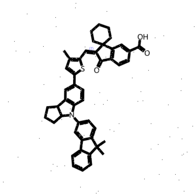 Cc1cc(-c2ccc3c(c2)C2CCCC2N3c2ccc3c(c2)-c2ccccc2C3(C)C)sc1/C=C1\C(=O)c2ccc(C(=O)O)cc2C12CCCCC2